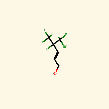 [O]C/C=C/C(F)(C(F)(F)F)C(F)(F)Br